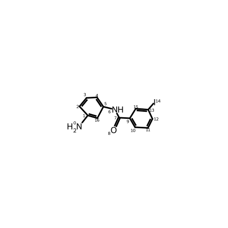 Nc1cccc(NC(=O)c2cccc(I)c2)c1